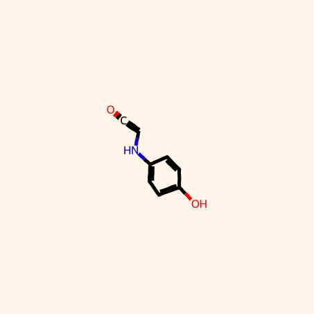 O=C=CNc1ccc(O)cc1